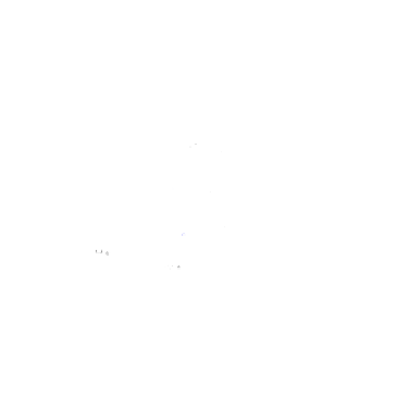 C=C(/C=c1/ccc(OC)c(OC)/c1=C/C)c1cc2c(cc1CCC)OCO2